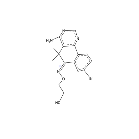 CC1(C)/C(=N/OCCC#N)c2cc(Br)ccc2-c2ncnc(N)c21